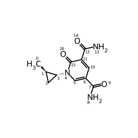 C[C@@H]1C[C@H]1n1cc(C(N)=O)cc(C(N)=O)c1=O